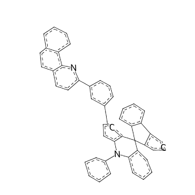 c1ccc(N2c3ccccc3C3(c4ccccc4-c4ccccc43)c3cc(-c4cccc(-c5ccc6ccc7ccccc7c6n5)c4)ccc32)cc1